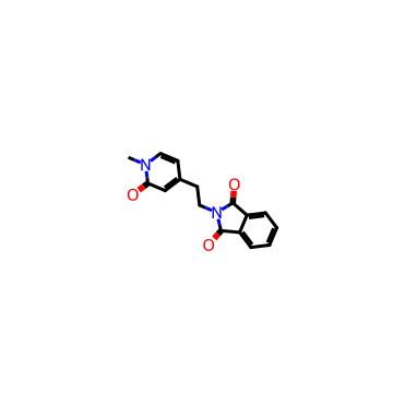 Cn1ccc(CCN2C(=O)c3ccccc3C2=O)cc1=O